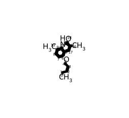 CC/C=C\COc1ccc(C)c2[nH]c(=O)c(C)cc12